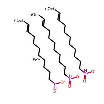 CCCCCCCCC=CCCCCCCCC[PH](=O)[O-].CCCCCCCCC=CCCCCCCCC[PH](=O)[O-].CCCCCCCCC=CCCCCCCCC[PH](=O)[O-].[Fe+3]